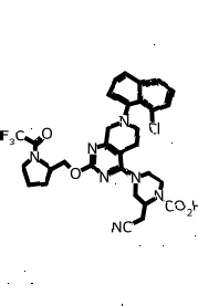 N#CCC1CN(c2nc(OCC3CCCN3C(=O)C(F)(F)F)nc3c2CCN(c2cccc4cccc(Cl)c24)C3)CCN1C(=O)O